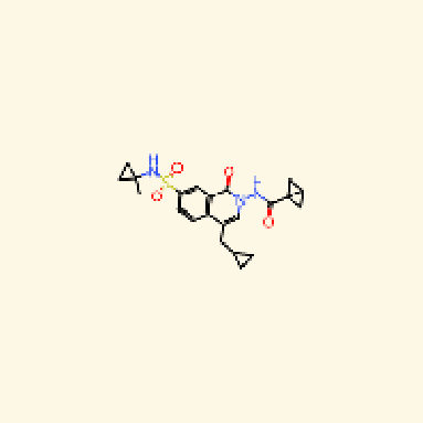 CC1(NS(=O)(=O)c2ccc3c(CC4CC4)cn(NC(=O)C45CC4C5)c(=O)c3c2)CC1